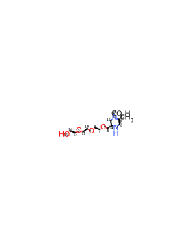 C[C@@H]1CN[C@@H](COCCOCCOCCO)CN1C(=O)O